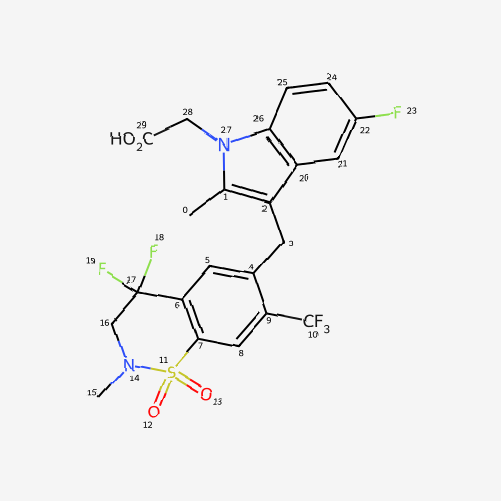 Cc1c(Cc2cc3c(cc2C(F)(F)F)S(=O)(=O)N(C)CC3(F)F)c2cc(F)ccc2n1CC(=O)O